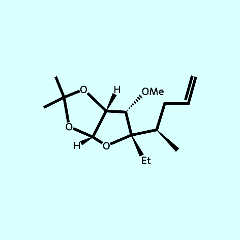 C=CC[C@@H](C)[C@]1(CC)O[C@@H]2OC(C)(C)O[C@@H]2[C@@H]1OC